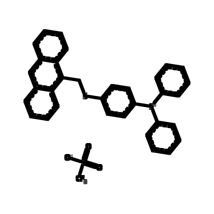 O=S(=O)([O-])C(F)(F)F.c1ccc([S+](c2ccccc2)c2ccc(SCc3c4ccccc4cc4ccccc34)cc2)cc1